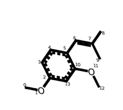 COc1ccc(C=C(C)C)c(OC)c1